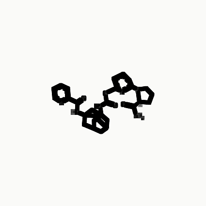 NC(=O)[C@@H]1CCCN1c1cccc(OC(=O)NC23CC4CC(C2)CC(NC(=O)c2ccccn2)(C4)C3)n1